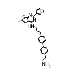 Cc1cc2c(NCCCc3ccc(-c4ccc(CCN)cc4)cc3)nc(-c3ccoc3)nc2s1